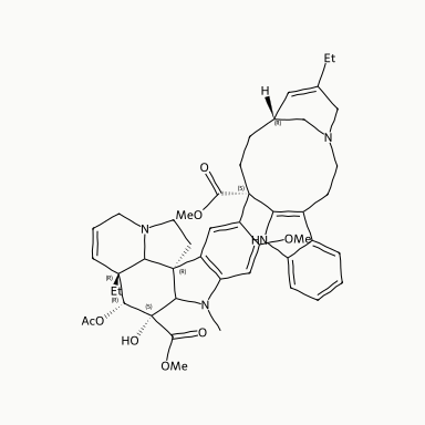 CCC1=C[C@H]2CC[C@](C(=O)OC)(c3cc4c(cc3OC)N(C)C3[C@]45CCN4CC=C[C@](CC)(C45)[C@@H](OC(C)=O)[C@]3(O)C(=O)OC)c3[nH]c4ccccc4c3CCN(C1)C2